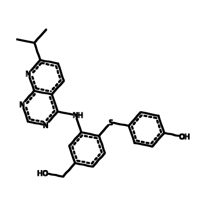 CC(C)c1ccc2c(Nc3cc(CO)ccc3Sc3ccc(O)cc3)ncnc2n1